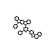 c1ccc(-c2nc(-c3ccc4c(c3)oc3ccc5ccccc5c34)nc(-n3c4ccccc4c4cc5c6ccccc6n(-c6ccccc6)c5cc43)n2)cc1